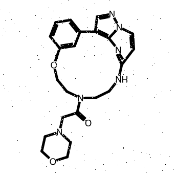 O=C(CN1CCOCC1)N1CCNc2ccn3ncc(c3n2)-c2cccc(c2)OCC1